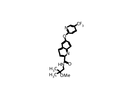 COC(C)(C)CNC(=O)c1ccc2cc(Oc3ccc(C(F)(F)F)cn3)ccc2n1